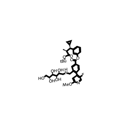 COc1cc(-c2ccc(C(=O)Oc3cccc([C@H](C4CC4)[C@H](C)C(=O)OC(C)(C)C)c3)cc2CNC[C@H](O)[C@@H](O)[C@H](O)[C@H](O)CO)c(F)cn1